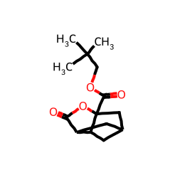 CC(C)(C)COC(=O)C12CC3CC(C(=O)O1)C2C3